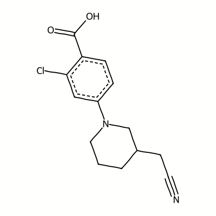 N#CCC1CCCN(c2ccc(C(=O)O)c(Cl)c2)C1